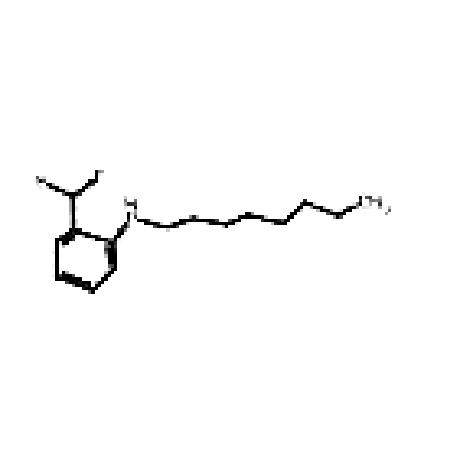 CCCCCCCCPc1ccccc1C(F)F